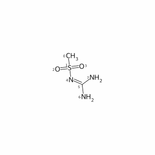 CS(=O)(=O)N=C(N)N